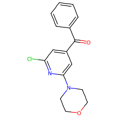 O=C(c1ccccc1)c1cc(Cl)nc(N2CCOCC2)c1